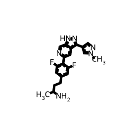 CC(N)CCc1cc(F)c(-c2cc3c(-c4cnn(C)c4)n[nH]c3cn2)c(F)c1